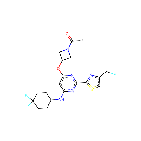 CC(C)C(=O)N1CC(Oc2cc(NC3CCC(F)(F)CC3)nc(-c3nc(CF)cs3)n2)C1